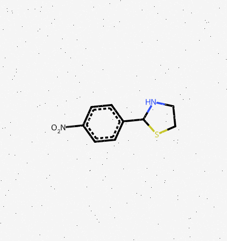 O=[N+]([O-])c1ccc(C2NCCS2)cc1